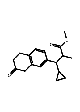 COC(=O)C(C)C(c1ccc2c(c1)CC(=O)CC2)C1CC1